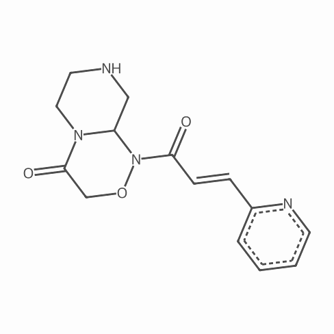 O=C1CON(C(=O)/C=C/c2ccccn2)C2CNCCN12